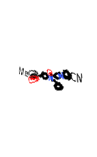 COC(=O)[C@H]1CC[C@H](N(CCc2ccccc2)C(=O)C2CCN(c3ccc(C#N)cc3)CC2)CC1